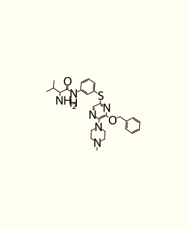 CC(C)C(N)C(=O)Nc1cccc(Sc2cnc(N3CCN(C)CC3)c(OCc3ccccc3)n2)c1